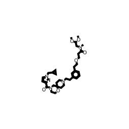 COC(CN(C)C(=O)CCOCCc1cccc(CCN2CCC3(CC2)CN(C(=O)c2ccn(CC4CC4)n2)CCO3)c1)OC